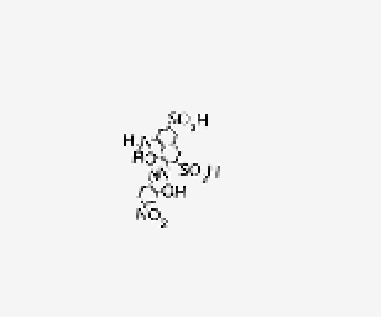 Nc1cc(S(=O)(=O)O)cc2cc(S(=O)(=O)O)c(N=Nc3ccc([N+](=O)[O-])cc3O)c(O)c12